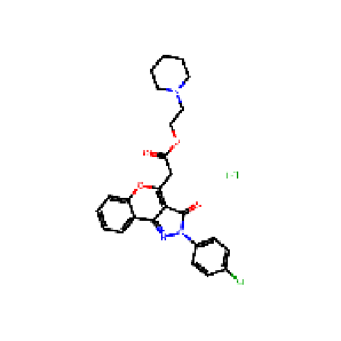 Cl.O=C(Cc1oc2ccccc2c2nn(-c3ccc(Cl)cc3)c(=O)c1-2)OCCN1CCCCC1